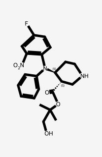 CC(C)(CO)OC(=O)[C@H]1CNCC[C@@H]1N(c1ccccc1)c1ccc(F)cc1[N+](=O)[O-]